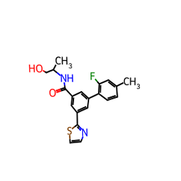 Cc1ccc(-c2cc(C(=O)NC(C)CO)cc(-c3nccs3)c2)c(F)c1